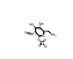 NC[C@H]1O[C@H](OP(=O)([O-])[O-])[C@H](O)[C@@H](O)[C@@H]1O.[Na+].[Na+]